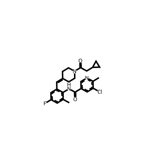 Cc1cc(F)cc(C=C2CCN(C(=O)CC3CC3)CC2)c1NC(=O)c1cnc(C)c(Cl)c1